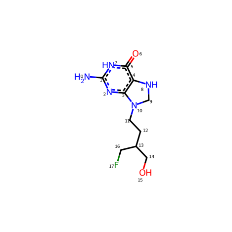 Nc1nc2c(c(=O)[nH]1)NCN2CCC(CO)CF